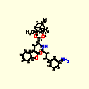 CC1(C)C2C[C@H]1CC1OB(C(Cc3coc4ccccc34)NC(=O)CCc3cccc(N)c3)O[C@]12C